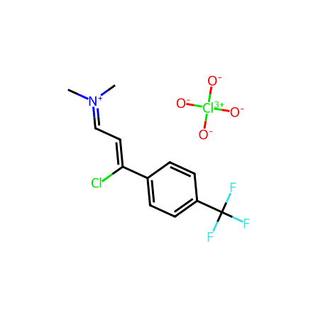 C[N+](C)=CC=C(Cl)c1ccc(C(F)(F)F)cc1.[O-][Cl+3]([O-])([O-])[O-]